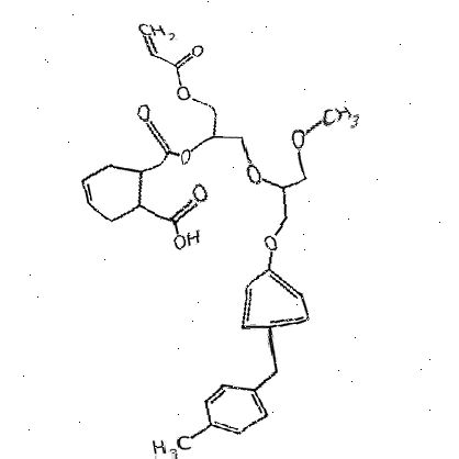 C=CC(=O)OCC(COC(COC)COc1ccc(Cc2ccc(C)cc2)cc1)OC(=O)C1CC=CCC1C(=O)O